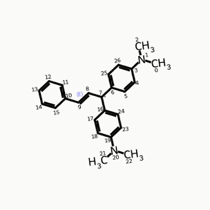 CN(C)c1ccc([C](/C=C/c2ccccc2)c2ccc(N(C)C)cc2)cc1